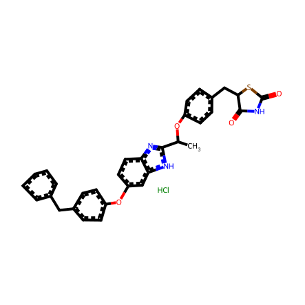 CC(Oc1ccc(CC2SC(=O)NC2=O)cc1)c1nc2ccc(Oc3ccc(Cc4ccccc4)cc3)cc2[nH]1.Cl